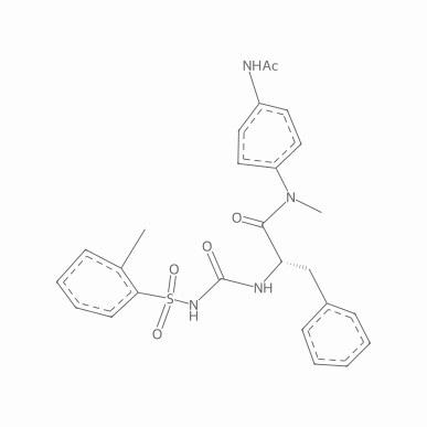 CC(=O)Nc1ccc(N(C)C(=O)[C@H](Cc2ccccc2)NC(=O)NS(=O)(=O)c2ccccc2C)cc1